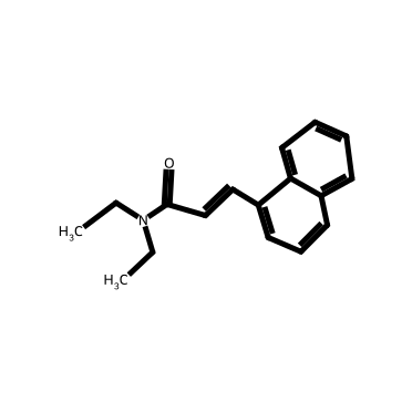 CCN(CC)C(=O)C=Cc1cccc2ccccc12